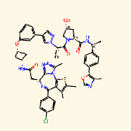 Cc1ncoc1-c1ccc([C@H](C)NC(=O)[C@@H]2C[C@@H](O)CN2C(=O)[C@@H](C(C)C)n2cc(-c3cccc(O[C@H]4C[C@@H](NC(=O)C[C@@H]5N=C(c6ccc(Cl)cc6)c6c(sc(C)c6C)-n6c(C)nnc65)C4)c3)cn2)cc1